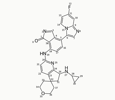 O=C1N=Cc2c(-c3cnc4cc(F)ccn34)ccc(Nc3ccc4c(n3)C(NC3CC3)CC43CCOCC3)c21